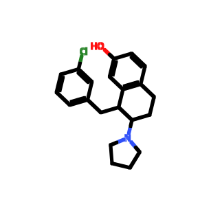 Oc1ccc2c(c1)C(Cc1cccc(Cl)c1)C(N1CCCC1)CC2